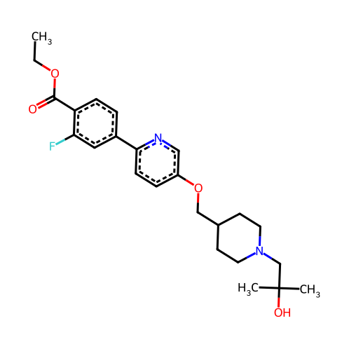 CCOC(=O)c1ccc(-c2ccc(OCC3CCN(CC(C)(C)O)CC3)cn2)cc1F